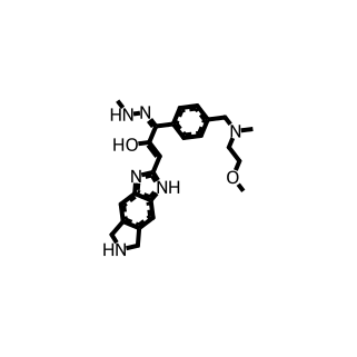 CN/N=C(\C(O)=C\c1nc2cc3c(cc2[nH]1)CNC3)c1ccc(CN(C)CCOC)cc1